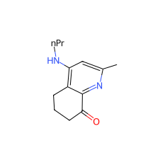 CCCNc1cc(C)nc2c1CCCC2=O